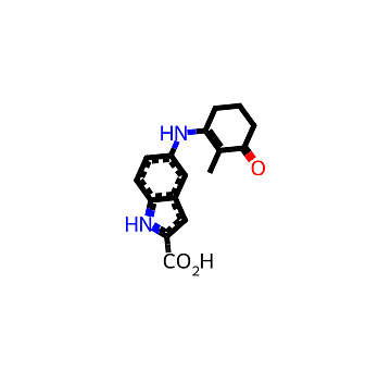 CC1=C(Nc2ccc3[nH]c(C(=O)O)cc3c2)CCCC1=O